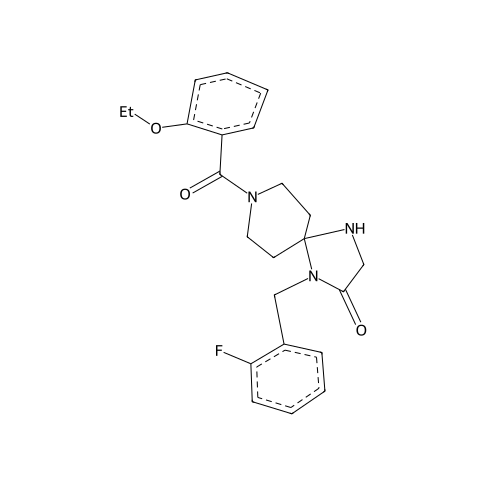 CCOc1ccccc1C(=O)N1CCC2(CC1)NCC(=O)N2Cc1ccccc1F